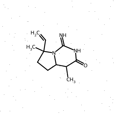 C=CC1(C)CCC2C(C)C(=O)NC(=N)N21